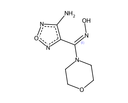 Nc1nonc1/C(=N\O)N1CCOCC1